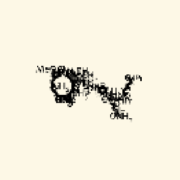 COc1cc2cc(c1Cl)N(C)C(=O)C[C@H](OC(=O)[C@H](C)N(C)C(=O)CCN(C)C(=O)OCc1ccc(NC(=O)[C@H](CCCNC(N)=O)NC(=O)[C@@H](NC(=O)CCCCC(=O)C(C)C)C(C)C)cc1)[C@]1(C)O[C@H]1[C@H](C)[C@@H]1C[C@@](O)(NC(=O)O1)[C@H](OC)/C=C/C=C(\C)C2